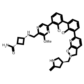 C=C1C[C@H](CN2Cc3ccc(-c4cccc(-c5cccc(-c6cnc(CN[C@H]7C[C@@H](C(N)=O)C7)c(OC)n6)c5Cl)c4Cl)nc3O2)CN1